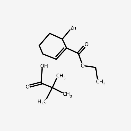 CC(C)(C)C(=O)O.CCOC(=O)C1=CCCC[CH]1[Zn]